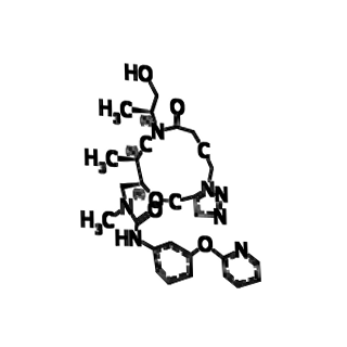 C[C@H]1CN([C@@H](C)CO)C(=O)CCCn2nncc2CO[C@H]1CN(C)C(=O)Nc1cccc(Oc2ccccn2)c1